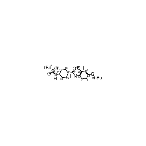 CCCCOc1ccc(NC(=O)[C@H]2CC[C@H](NS(=O)(=O)C(C)(C)C)CC2)c(O)c1